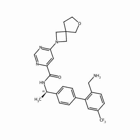 C[C@@H](NC(=O)c1cc(N2CC3(CCOC3)C2)ncn1)c1ccc(-c2cc(C(F)(F)F)ccc2CN)cc1